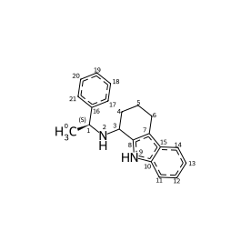 C[C@H](NC1CCCc2c1[nH]c1ccccc21)c1ccccc1